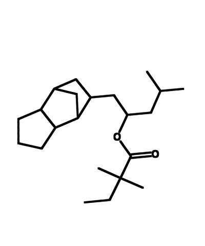 CCC(C)(C)C(=O)OC(CC(C)C)CC1CC2CC1C1CCCC21